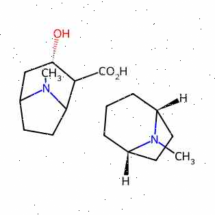 CN1C2CCC1C(C(=O)O)[C@@H](O)C2.CN1[C@@H]2CCC[C@H]1CC2